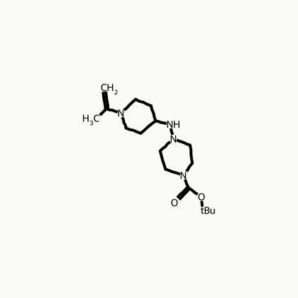 C=C(C)N1CCC(NN2CCN(C(=O)OC(C)(C)C)CC2)CC1